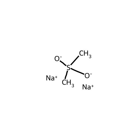 CS(C)([O-])[O-].[Na+].[Na+]